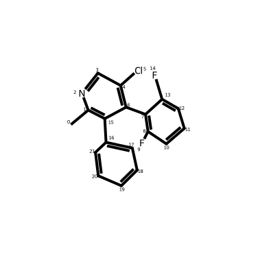 Cc1ncc(Cl)c(-c2c(F)cccc2F)c1-c1ccccc1